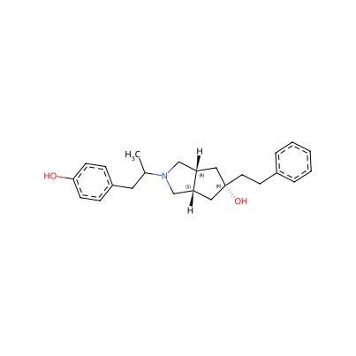 CC(Cc1ccc(O)cc1)N1C[C@@H]2C[C@@](O)(CCc3ccccc3)C[C@@H]2C1